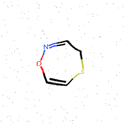 C1=CSCC=NO1